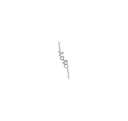 CCCCCCCC1CCc2nc(-c3ccc(OC(=O)OCCCCCC)cc3)ncc2C1